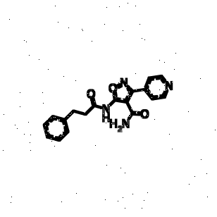 NC(=O)c1c(-c2ccncc2)noc1NC(=O)CCc1ccccc1